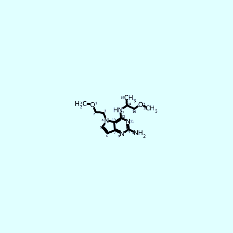 COCCn1ccc2nc(N)nc(NC(C)COC)c21